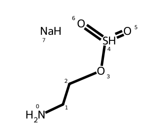 NCCO[SH](=O)=O.[NaH]